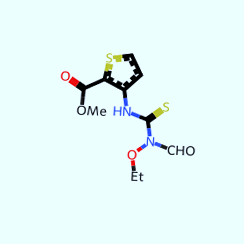 CCON(C=O)C(=S)Nc1ccsc1C(=O)OC